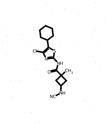 CC1(C(=O)Nc2nc(Cl)c(C3CCCCC3)s2)CC(NC#N)C1